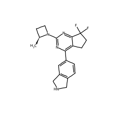 C[C@H]1CCN1c1nc(-c2ccc3c(c2)CNC3)c2c(n1)C(F)(F)CC2